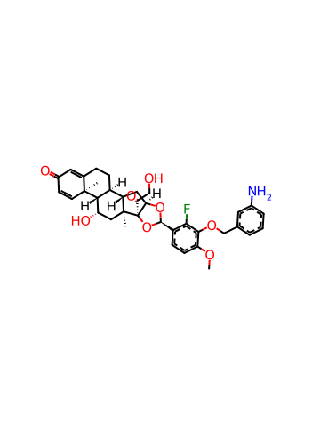 COc1ccc([C@@H]2O[C@@H]3C[C@H]4[C@@H]5CCC6=CC(=O)C=C[C@]6(C)[C@H]5[C@@H](O)C[C@]4(C)[C@]3(C(=O)CO)O2)c(F)c1OCc1cccc(N)c1